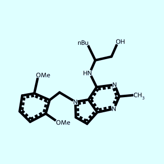 CCCCC(CO)Nc1nc(C)nc2ccn(Cc3c(OC)cccc3OC)c12